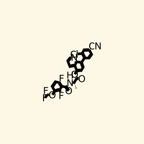 C[C@H](NC(=O)c1c(F)ccc(OC(F)F)c1F)C(=O)Oc1ccc(-c2ccc(C#N)cc2Cl)c2ncccc12